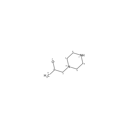 CC([O])CN1CCNCC1